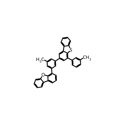 Cc1cc(-c2cc(-c3cccc(C)c3)c3sc4ccccc4c3c2)cc(-c2cccc3c2oc2ccccc23)c1